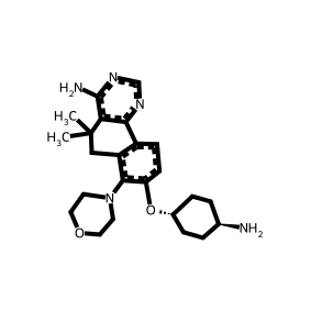 CC1(C)Cc2c(ccc(O[C@H]3CC[C@H](N)CC3)c2N2CCOCC2)-c2ncnc(N)c21